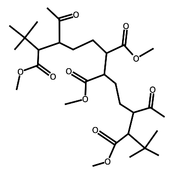 COC(=O)C(CCC(C(C)=O)C(C(=O)OC)C(C)(C)C)C(CCC(C(C)=O)C(C(=O)OC)C(C)(C)C)C(=O)OC